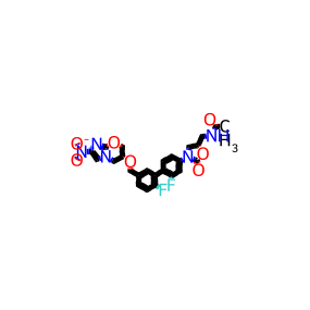 CC(=O)NCC1CN(c2ccc(-c3cc(COC4COc5nc([N+](=O)[O-])cn5C4)ccc3F)c(F)c2)C(=O)O1